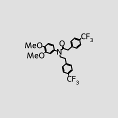 COc1ccc(N(CCc2ccc(C(F)(F)F)cc2)C(=O)Cc2ccc(C(F)(F)F)cc2)cc1OC